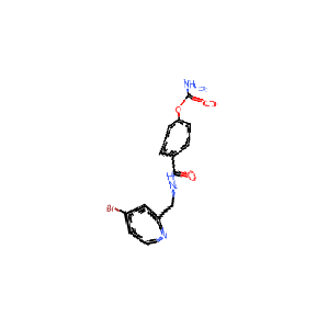 NC(=O)Oc1ccc(C(=O)NCc2cc(Br)ccn2)cc1